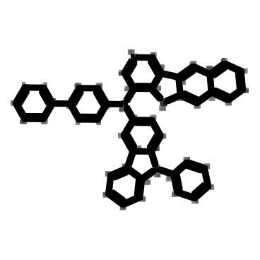 c1ccc(-c2ccc(N(c3ccc4c(c3)c3ccccc3n4-c3ccccc3)c3cncc4c3oc3cc5ccccc5cc34)cc2)cc1